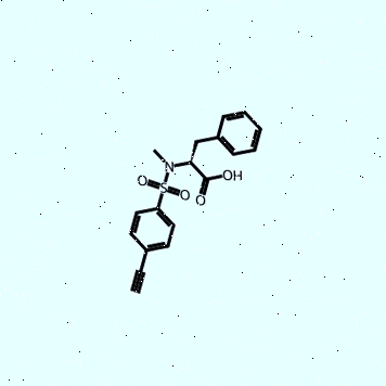 [C]#Cc1ccc(S(=O)(=O)N(C)[C@@H](Cc2ccccc2)C(=O)O)cc1